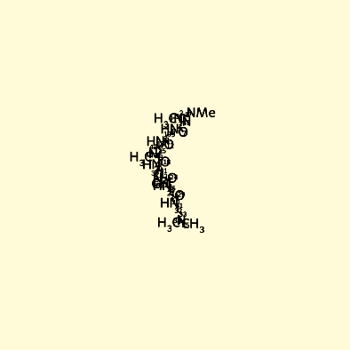 CNc1cn(C)c(C(=O)NCCC(=O)Nc2cc(C(=O)Nc3cc(C(=O)NCCC(=O)NCCCN(C)C)n(C)c3)n(C)c2)n1